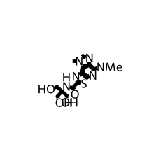 CNc1nc2sc(C(=O)NC(CO)(CO)CO)nc2c2c1ncn2C